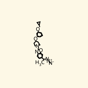 CC(N=[N+]=[N-])c1ccc2nc(N3CCC(Oc4cccc(OCC5CC5)c4)CC3)oc2c1